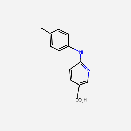 Cc1ccc(Nc2ccc(C(=O)O)cn2)cc1